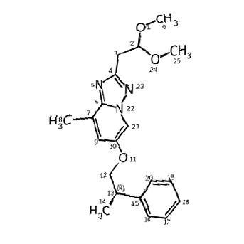 COC(Cc1nc2c(C)cc(OC[C@H](C)c3ccccc3)cn2n1)OC